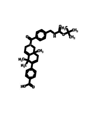 CC(C)(C)OC(=O)NCc1ccc(C(=O)N2CC=C3C(C)(CC=C(c4ccc(C(=O)O)cc4)C3(C)C)C2)cc1